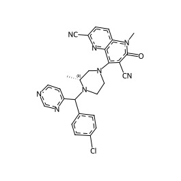 C[C@@H]1CN(c2c(C#N)c(=O)n(C)c3ccc(C#N)nc23)CCN1C(c1ccc(Cl)cc1)c1ccncn1